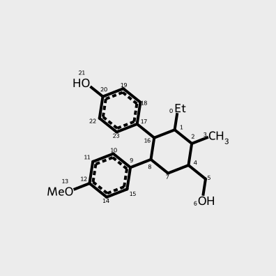 CCC1C(C)C(CO)CC(c2ccc(OC)cc2)C1c1ccc(O)cc1